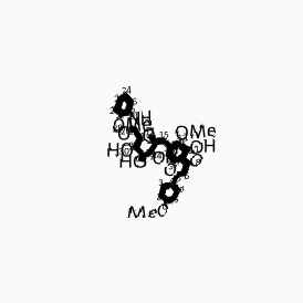 COc1ccc(-c2cc(=O)c3c(O)c(OC)c(CC4OC(C(=O)Nc5ccccc5OC)C(O)C(O)C4O)cc3o2)cc1